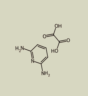 Nc1cccc(N)n1.O=C(O)C(=O)O